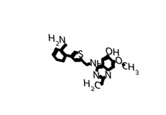 C=Cc1nc(NCc2cc(C3=C(CN)C=CCC3)cs2)c2cc(O)c(OC)cc2n1